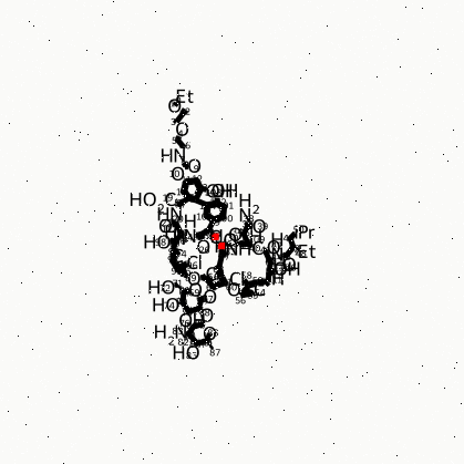 CCOCCOCCNC(=O)Oc1cc(O)c2c(c1)[C@@H](C(=O)O)NC(=O)[C@H]1NC(=O)[C@H](CC(=O)[C@@H]3NC(=O)[C@H](CC(N)=O)CC(=O)[C@H](NC(=O)[C@H](CC)CC(C)C)[C@H](O)c4ccc(c(Cl)c4)Oc4cc3cc(c4O[C@@H]3O[C@H](CO)[C@@H](O)[C@H](O)[C@H]3O[C@H]3C[C@](C)(N)[C@H](O)[C@H](C)O3)Oc3ccc(cc3Cl)[C@H]1O)c1ccc(O)c-2c1